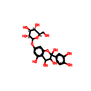 OC[C@H]1OC(Oc2cc(O)c3c(c2)OC(O)(c2ccc(O)c(O)c2)C(O)C3O)[C@H](O)[C@@H](O)[C@@H]1O